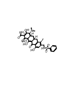 CN(C)[C@@H]1C(O)=C(C(N)=O)C(=O)[C@@]2(O)C(O)=C3C(=O)c4c(O)cc(CNS(=O)(=O)c5ccccc5)c(F)c4C[C@H]3C[C@@H]12